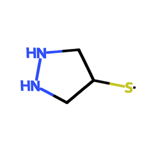 [S]C1CNNC1